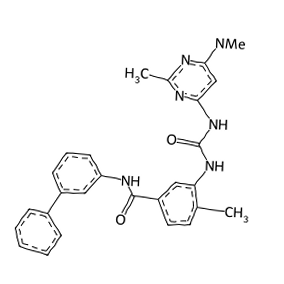 CNc1cc(NC(=O)Nc2cc(C(=O)Nc3cccc(-c4ccccc4)c3)ccc2C)nc(C)n1